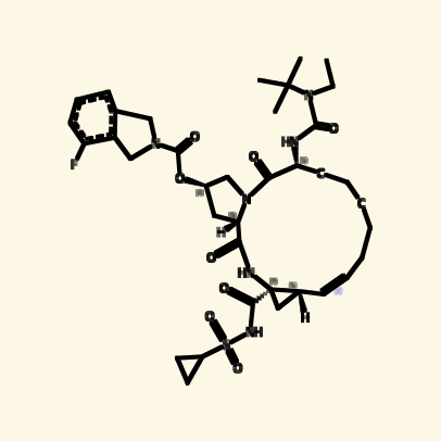 CCN(C(=O)N[C@H]1CCCCC/C=C\[C@@H]2C[C@@]2(C(=O)NS(=O)(=O)C2CC2)NC(=O)[C@@H]2C[C@@H](OC(=O)N3Cc4cccc(F)c4C3)CN2C1=O)C(C)(C)C